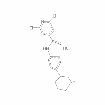 Cl.O=C(Nc1ccc(C2CCCNC2)cc1)c1cc(Cl)nc(Cl)c1